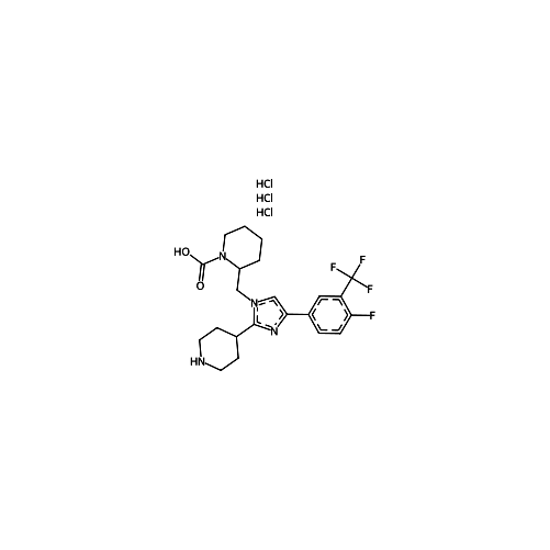 Cl.Cl.Cl.O=C(O)N1CCCCC1Cn1cc(-c2ccc(F)c(C(F)(F)F)c2)nc1C1CCNCC1